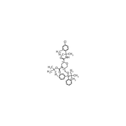 Cc1cc(Cl)ccc1C(C)(C)NC(=O)[C@@H]1CN(C(=O)OC(C)(C)C)[C@H](CO[Si](c2ccccc2)(c2ccccc2)C(C)(C)C)CO1